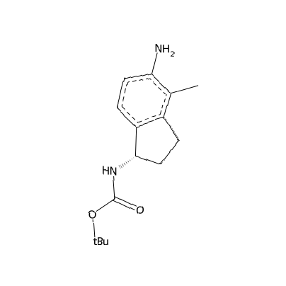 Cc1c(N)ccc2c1CC[C@@H]2NC(=O)OC(C)(C)C